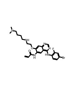 C=CC(=O)Nc1cc2c(Nc3ccc(Br)cc3F)ncnc2cc1OCCNCCCCN(C)C